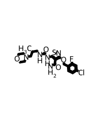 CC(CNC(=O)Nc1snc(OCc2ccc(Cl)cc2F)c1C(N)=O)CN1CCOCC1